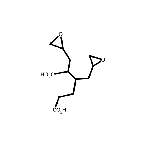 O=C(O)CCC(CC1CO1)C(CC1CO1)C(=O)O